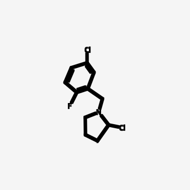 Fc1ccc(Cl)cc1CN1CC[CH]C1Cl